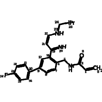 C=CC(=O)NCc1ccc(-c2ccc(F)cc2)cc1C(=N)/C=C\NCC(C)C